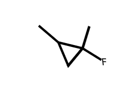 CC1CC1(C)F